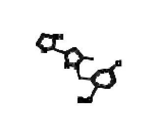 Cc1cc(-c2ncc[nH]2)nn1Cc1cc(Cl)ccc1OCC(C)C